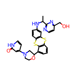 CC(Nc1ccc2c(c1)Sc1cccc(C3CN(c4cc[nH]c(=O)c4)CCO3)c1S2)c1nccc(CO)n1